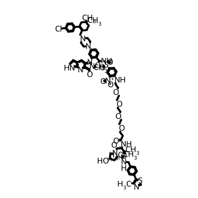 Cc1ncsc1-c1ccc(CNC(=O)[C@@H]2C[C@@H](O)CN2C(=O)[C@@H](NC(=O)CCOCCOCCOCCOCCNc2ccc(S(=O)(=O)NC(=O)c3ccc(N4CCN(CC5=C(c6ccc(Cl)cc6)CC(C)(C)CC5)CC4)cc3-n3c4cc5cc[nH]c5nc4c(=O)n3C)cc2[N+](=O)[O-])C(C)(C)C)cc1